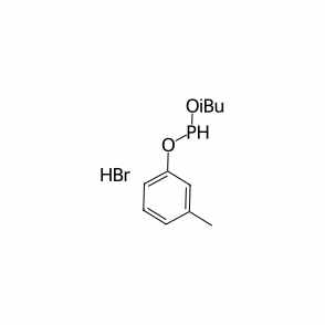 Br.Cc1cccc(OPOCC(C)C)c1